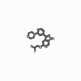 FC(F)COc1cc2c(-c3ccnc(N4CCOCC4)c3)n[nH]c2cn1